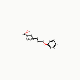 CCOC(=O)C1(CCCCCOc2ccccc2)CO1